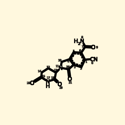 N#Cc1cc2c(cc1C(N)=O)CN(C1CCC(=O)NC1=O)C2=O